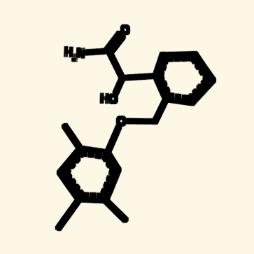 Cc1cc(C)c(OCc2ccccc2C(O)C(N)=O)cc1C